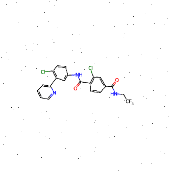 O=C(NCC(F)(F)F)c1ccc(C(=O)Nc2ccc(Cl)c(-c3ccccn3)c2)c(Cl)c1